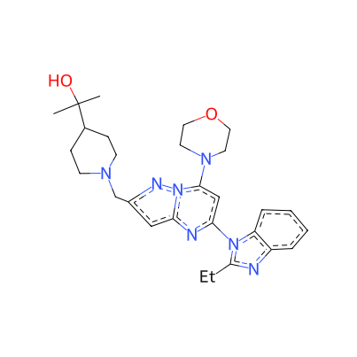 CCc1nc2ccccc2n1-c1cc(N2CCOCC2)n2nc(CN3CCC(C(C)(C)O)CC3)cc2n1